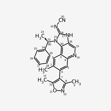 Cc1cc2c(cc1-c1c(C)noc1C)ncc1[nH]c(=NC#N)n([C@H](C)c3ccccc3)c12